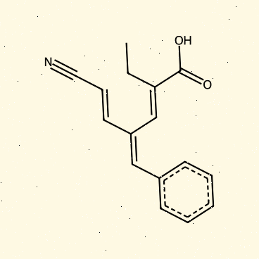 CCC(=CC(C=CC#N)=Cc1ccccc1)C(=O)O